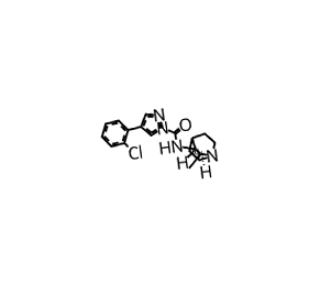 C[C@H]1[C@H](NC(=O)n2cc(-c3ccccc3Cl)cn2)C2CCN1CC2